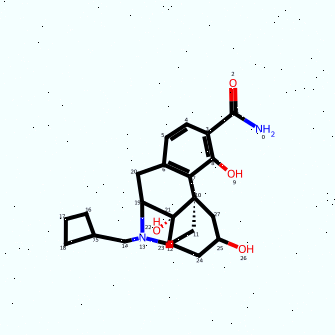 NC(=O)c1ccc2c(c1O)[C@]13CCN(CC4CCC4)C(C2)[C@]1(O)CCC(O)C3